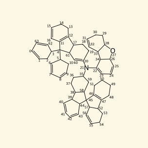 C1=CCC(C2(C3C=CC=CC3)C3=C(CCC=C3)C3CCC(N(C4=CC=CC5OC6CCC=CC6C45)C4CCC5C6C=CC=CC6C6(C7=C(CCCC7)C7CCC=CC76)C5C4)=CC32)C=C1